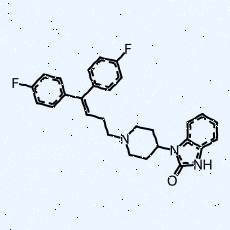 O=c1[nH]c2ccccc2n1C1CCN(CCC=C(c2ccc(F)cc2)c2ccc(F)cc2)CC1